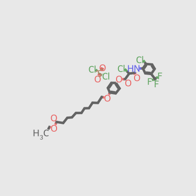 CCOC(=O)CCCCCCCCCCOc1ccc(OC(=O)C(Cl)C(=O)Nc2cc(C(F)(F)F)ccc2Cl)cc1.O=S(=O)(Cl)Cl